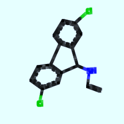 C=CNC1c2cc(Cl)ccc2-c2ccc(Cl)cc21